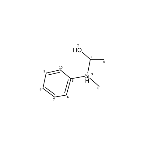 CC(O)[SiH](C)c1ccccc1